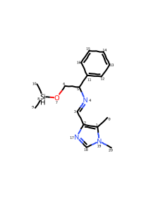 Cc1c(C=NC(CO[SiH](C)C)c2ccccc2)ncn1C